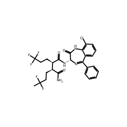 CC(F)(F)CC[C@H](C(N)=O)[C@@H](CCC(F)(F)F)C(=O)N[C@H]1N=C(c2ccccc2)c2cccc(Cl)c2NC1=O